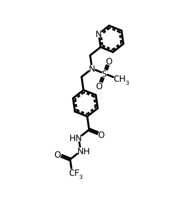 CS(=O)(=O)N(Cc1ccc(C(=O)NNC(=O)C(F)(F)F)cc1)Cc1ccccn1